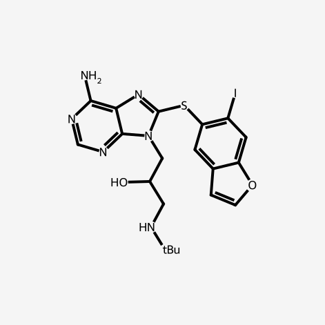 CC(C)(C)NCC(O)Cn1c(Sc2cc3ccoc3cc2I)nc2c(N)ncnc21